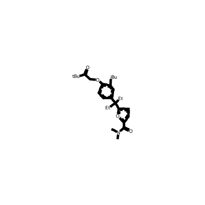 CCC(C)c1cc(C(CC)(CC)c2ccc(C(=O)N(C)C)o2)ccc1OCC(=O)C(C)(C)C